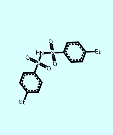 CCc1ccc(S(=O)(=O)NS(=O)(=O)c2ccc(CC)cc2)cc1